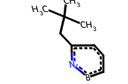 CC(C)(C)Cc1cccbn1